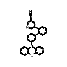 N#Cc1cncc(-c2ccccc2-c2cccc(N3c4ccccc4Oc4ccccc43)c2)c1